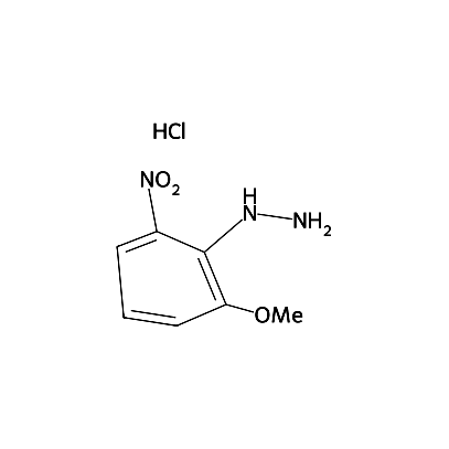 COc1cccc([N+](=O)[O-])c1NN.Cl